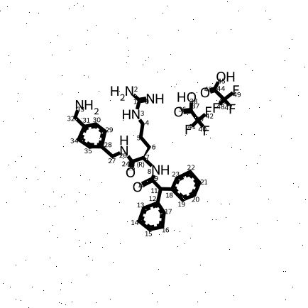 N=C(N)NCCC[C@@H](NC(=O)C(c1ccccc1)c1ccccc1)C(=O)NCc1ccc(CN)cc1.O=C(O)C(F)(F)F.O=C(O)C(F)(F)F